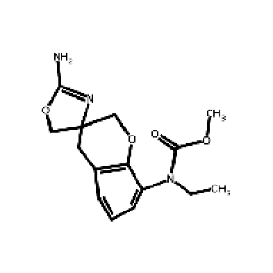 CCN(C(=O)OC)c1cccc2c1OCC1(COC(N)=N1)C2